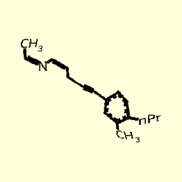 C/C=N\C=C/CC#Cc1ccc(CCC)c(C)c1